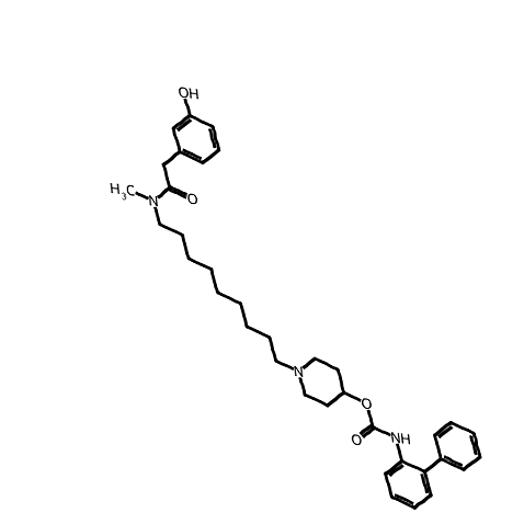 CN(CCCCCCCCCN1CCC(OC(=O)Nc2ccccc2-c2ccccc2)CC1)C(=O)Cc1cccc(O)c1